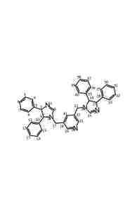 C1=NC(c2ccccc2)C(c2ccccc2)N1Cc1cncc(CN2C=NC(c3ccccc3)C2c2ccccc2)c1